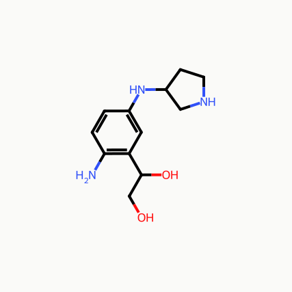 Nc1ccc(NC2CCNC2)cc1C(O)CO